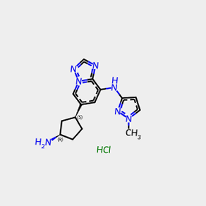 Cl.Cn1ccc(Nc2cc([C@H]3CC[C@@H](N)C3)cn3ncnc23)n1